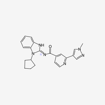 Cn1cc(-c2cc(C(=O)/N=c3\[nH]c4ccccc4n3C3CCCC3)ccn2)cn1